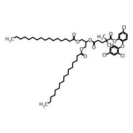 CCCCCCCCCCCCCCCC(=O)OCC(COC(=O)CCCCCCCCCCCCCCC)OC(=O)CCC(C)(C)C(=O)Oc1cc(Cl)ccc1Oc1ccc(Cl)cc1Cl